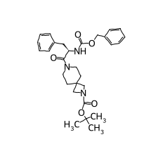 CC(C)(C)OC(=O)N1CC2(CCN(C(=O)[C@@H](Cc3ccccc3)NC(=O)OCc3ccccc3)CC2)C1